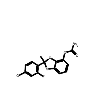 CC1(c2ccc(Cl)cc2F)Oc2cccc(OC(N)=O)c2O1